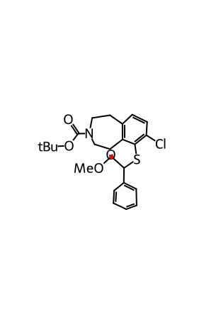 COC(=O)C(Sc1c(Cl)ccc2c1CCN(C(=O)OC(C)(C)C)CC2)c1ccccc1